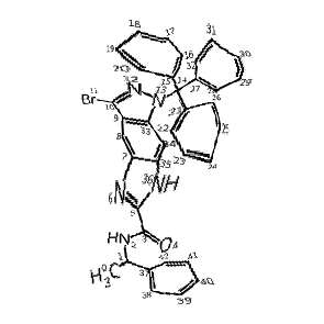 CC(NC(=O)c1nc2cc3c(Br)nn(C(c4ccccc4)(c4ccccc4)c4ccccc4)c3cc2[nH]1)c1ccccc1